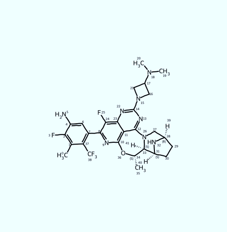 Cc1c(F)c(N)cc(-c2nc3c4c(nc(N5CC(N(C)C)C5)nc4c2F)N2C[C@H]4CC[C@H](N4)[C@H]2[C@H](C)O3)c1C(F)(F)F